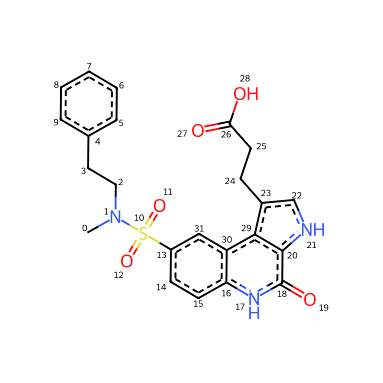 CN(CCc1ccccc1)S(=O)(=O)c1ccc2[nH]c(=O)c3[nH]cc(CCC(=O)O)c3c2c1